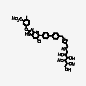 Cc1ccc(Oc2nc3nc(-c4ccc(-c5ccc(CN6CC(CNC[C@H](O)[C@@H](O)[C@H](O)[C@H](O)CO)C6)cc5)cc4)c(Cl)cc3[nH]2)cc1C(=O)O